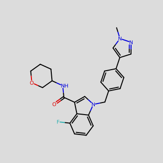 Cn1cc(-c2ccc(Cn3cc(C(=O)NC4CCCOC4)c4c(F)cccc43)cc2)cn1